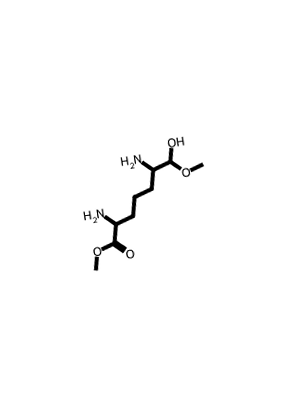 COC(=O)C(N)CCCC(N)C(O)OC